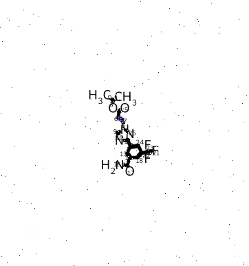 CC(C)OC(=O)/C=C/n1cnc(-c2cc(C(N)=O)cc(C(F)(F)F)c2)n1